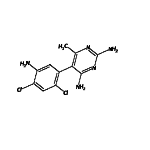 Cc1nc(N)nc(N)c1-c1cc(N)c(Cl)cc1Cl